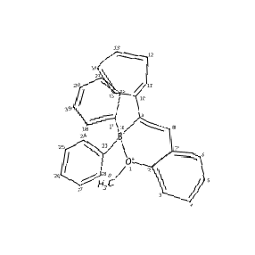 C[O+]1c2ccccc2C=C(c2ccccc2)[B-]1(c1ccccc1)c1ccccc1